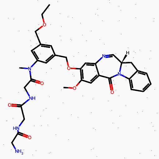 CCOCc1cc(COc2cc3c(cc2OC)C(=O)N2c4ccccc4C[C@H]2C=N3)cc(N(C)C(=O)CNC(=O)CNC(=O)CN)c1